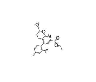 CCOC(=O)c1cc(-c2ccc(C)cc2F)c2c(n1)OC(C1CC1)CC2